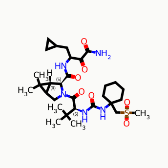 CC(C)(C)[C@H](NC(=O)NC1(CS(C)(=O)=O)CCCCC1)C(=O)N1CC2[C@@H]([C@H]1C(=O)NC(CC1CC1)C(=O)C(N)=O)C2(C)C